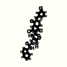 O=C(NC[C@H](NC(=O)c1c(Cl)cc2c(c1Cl)CCN(Cc1cccc(Cl)c1)C2=O)C(=O)O)N[C@@H]1CCc2ccccc21